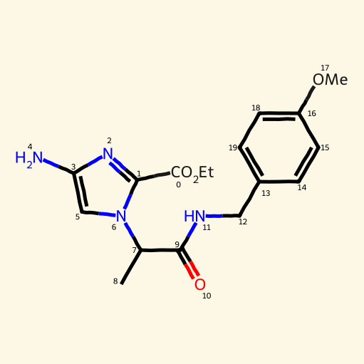 CCOC(=O)c1nc(N)cn1C(C)C(=O)NCc1ccc(OC)cc1